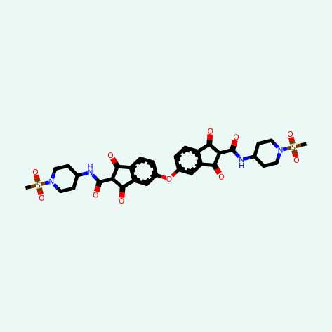 CS(=O)(=O)N1CCC(NC(=O)C2C(=O)c3ccc(Oc4ccc5c(c4)C(=O)C(C(=O)NC4CCN(S(C)(=O)=O)CC4)C5=O)cc3C2=O)CC1